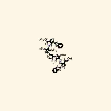 CCCCc1nn(-c2cc(-n3nc(CCCC)c(/N=N/c4c(C(=O)OC)cnn4-c4nc5ccccc5s4)c3N)ncn2)c(N)c1/N=N/c1c(C(=O)CO)cnn1-c1nc2ccccc2s1